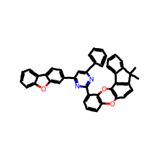 CC1(C)c2ccccc2-c2c1ccc1c2Oc2c(cccc2-c2nc(-c3ccccc3)cc(-c3ccc4c(c3)oc3ccccc34)n2)O1